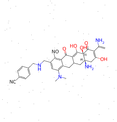 C=C(N)C1=C(O)C[C@]2(N)CC3Cc4c(N(C)C)cc(CNCc5ccc(C#N)cc5)c(N=O)c4C(=O)C3=C(O)[C@]2(O)C1=O